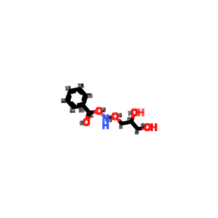 O=C(ONOCC(O)CO)c1ccccc1